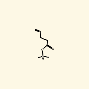 C=CCCC(=O)O[SiH](C)C